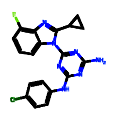 Nc1nc(Nc2ccc(Cl)cc2)nc(-n2c(C3CC3)nc3c(F)cccc32)n1